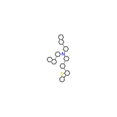 c1cc(-c2cccc(N(c3cccc(-c4ccc5ccccc5c4)c3)c3cccc(-c4cccc5ccccc45)c3)c2)cc(-c2cccc3c2sc2ccccc23)c1